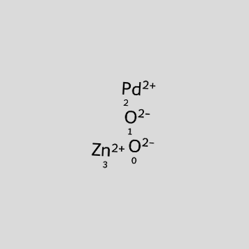 [O-2].[O-2].[Pd+2].[Zn+2]